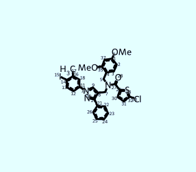 COc1ccc(CN(Cc2cn(-c3ccc(I)c(C)c3)nc2-c2ccccc2)C(=O)c2ccc(Cl)s2)c(OC)c1